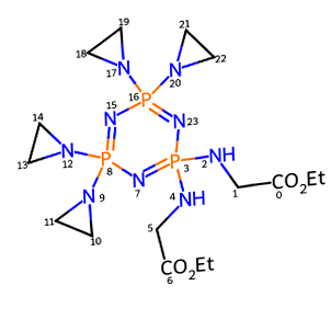 CCOC(=O)CNP1(NCC(=O)OCC)=NP(N2CC2)(N2CC2)=NP(N2CC2)(N2CC2)=N1